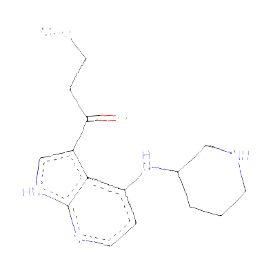 COCCC(=O)c1c[nH]c2nccc(NC3CCCNC3)c12